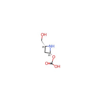 O=C(O)O[C@@H]1C[C@H](CO)N1